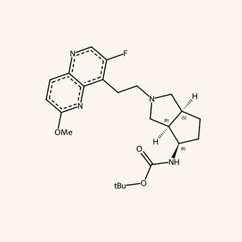 COc1ccc2ncc(F)c(CCN3C[C@H]4CC[C@@H](NC(=O)OC(C)(C)C)[C@H]4C3)c2n1